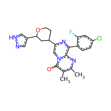 Cc1nc2c(-c3ccc(Cl)cc3F)nc(C3CCOC(c4cn[nH]c4)C3)cn2c(=O)c1C